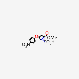 COC(=O)[C@@H]1C[C@H](Oc2ccc([N+](=O)[O-])cc2)CN1C(=O)O